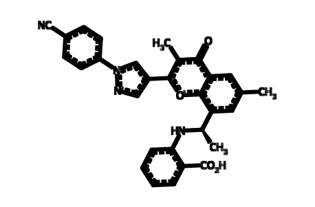 Cc1cc([C@@H](C)Nc2ccccc2C(=O)O)c2oc(-c3cnn(-c4ccc(C#N)cc4)c3)c(C)c(=O)c2c1